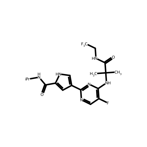 CC(C)NC(=O)c1cc(-c2ncc(F)c(NC(C)(C)C(=O)NCC(F)(F)F)n2)c[nH]1